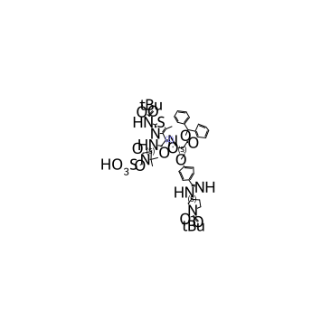 Cc1sc(NC(=O)OC(C)(C)C)nc1/C(=N/O[C@@H](COc1ccc(C(=N)N[C@H]2CCN(C(=O)OC(C)(C)C)C2)cc1)C(=O)OC(c1ccccc1)c1ccccc1)C(=O)N[C@@H]1C(=O)N(OS(=O)(=O)O)C1(C)C